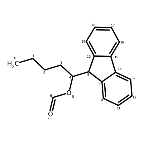 CCCCC(O[C]=O)C1c2ccccc2-c2ccccc21